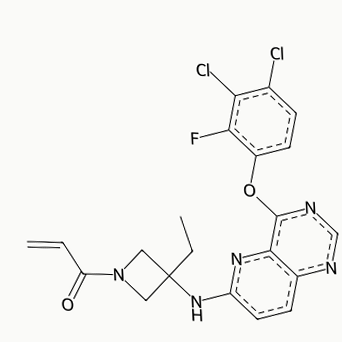 C=CC(=O)N1CC(CC)(Nc2ccc3ncnc(Oc4ccc(Cl)c(Cl)c4F)c3n2)C1